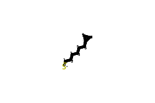 [S]CCCCCCC1CC1